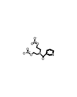 O=C(c1cccnc1)N(CCO[N+](=O)[O-])CCO[N+](=O)[O-]